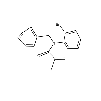 C=C(C)C(=O)N(Cc1ccccc1)c1ccccc1Br